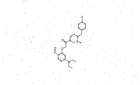 CCN(CC)c1ccc(C=O)c(OCC(=O)N2C[C@H](C)N(Cc3ccc(F)cc3)C[C@H]2C)c1